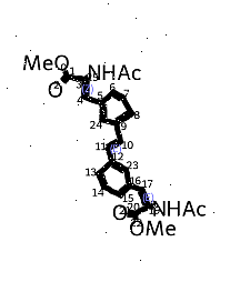 COC(=O)/C(=C/c1cccc(/C=C/c2cccc(/C=C(/NC(C)=O)C(=O)OC)c2)c1)NC(C)=O